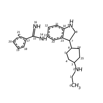 CCNC1CCC(C2CNc3ccc(NC(=N)c4cccs4)cc32)CC1